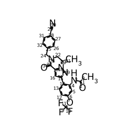 CC(=O)Nc1cc(OC(F)(F)F)ccc1-c1cc2n(n1)[C@@H](C)CN(Cc1ccc(C#N)cc1)C2=O